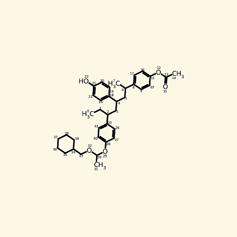 CCC(CC(CC(C)c1ccc(OC(C)=O)cc1)c1ccc(O)cc1)c1ccc(OC(C)OCC2CCCCC2)cc1